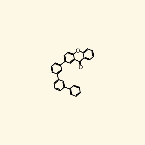 O=c1c2ccccc2oc2ccc(-c3cccc(-c4cccc(-c5ccccc5)c4)c3)cc12